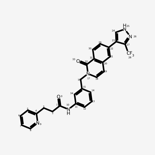 O=C(CCc1ccccn1)Nc1cccc(Cn2ccc3cc(-c4c[nH]nc4C(F)(F)F)ccc3c2=O)c1